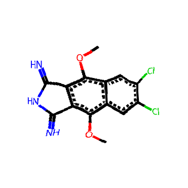 COc1c2c(c(OC)c3cc(Cl)c(Cl)cc13)C(=N)NC2=N